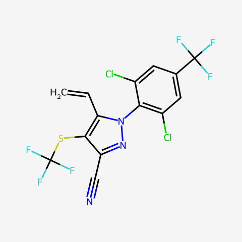 C=Cc1c(SC(F)(F)F)c(C#N)nn1-c1c(Cl)cc(C(F)(F)F)cc1Cl